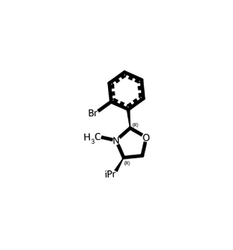 CC(C)[C@@H]1CO[C@H](c2ccccc2Br)N1C